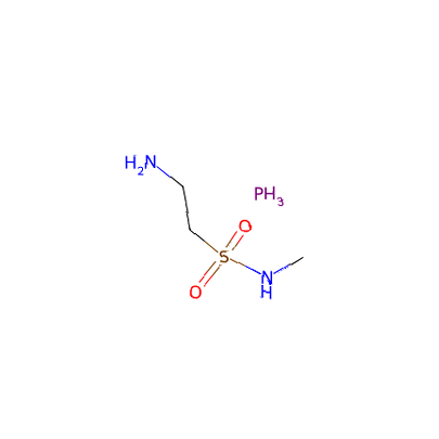 CNS(=O)(=O)CCN.P